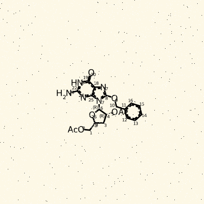 CC(=O)OC[C@@H]1C[C@@H](OC(C)=O)[C@H](n2c(OCc3ccccc3)nc3c(=O)[nH]c(N)nc32)O1